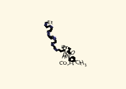 CC/C=C\C/C=C\C/C=C\C/C=C\C/C=C\C/C=C\CCC(=O)NC(CC(C)C)C(=O)Nc1ccc(C)c(C(=O)O)c1